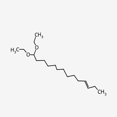 CC/C=C/CCCCCCCCCC(OCC)OCC